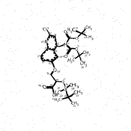 CC(C)(C)OC(=O)N(C(=O)OC(C)(C)C)c1cc(Cl)nc2ccc(OCC(O[Si](C)(C)C(C)(C)C)C(=O)O)cc12